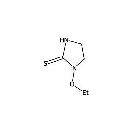 CCON1CCNC1=S